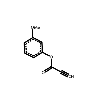 C#CC(=O)Oc1cccc(OC)c1